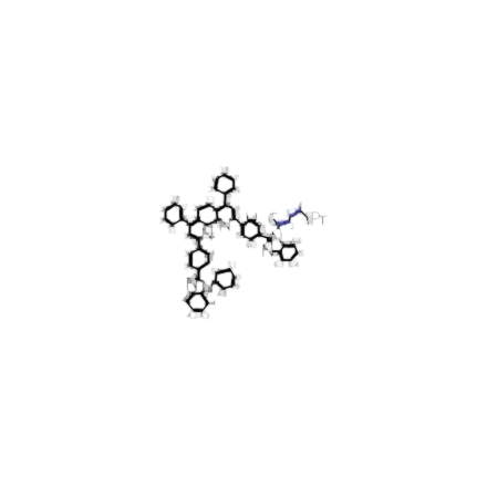 C/C(=C\C=C/C(C)C)n1c(-c2ccc(-c3cc(-c4ccccc4)c4ccc5c(-c6ccccc6)cc(-c6ccc(-c7nc8ccccc8n7-c7ccccc7)cc6)nc5c4n3)cc2)nc2ccccc21